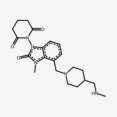 CNCC1CCN(Cc2cccc3c2n(C)c(=O)n3N2C(=O)CCCC2=O)CC1